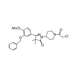 COc1ccc(C2=NN(C3CCN(C(=O)CCl)CC3)C(=O)C2(C)C)cc1OCc1ccccc1